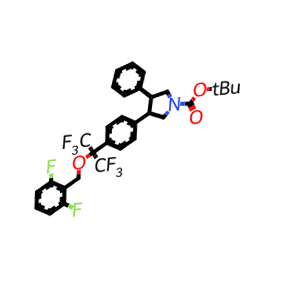 CC(C)(C)OC(=O)N1CC(c2ccccc2)C(c2ccc(C(OCc3c(F)cccc3F)(C(F)(F)F)C(F)(F)F)cc2)C1